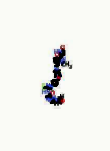 Cn1nc(C2CCC(=O)NC2=O)c2cccc(CCN3CC4(CCN(CC5CCC(n6cc(NC(=O)c7cnn8ccc(N9C[C@H]%10C[C@@H]9CO%10)nc78)c(C(F)F)n6)CC5)CC4)C3)c21